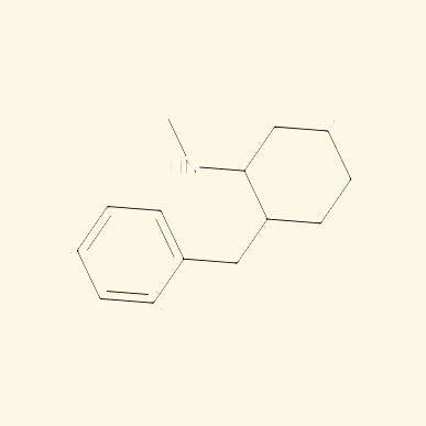 CNC1CCCCC1Cc1ccccc1